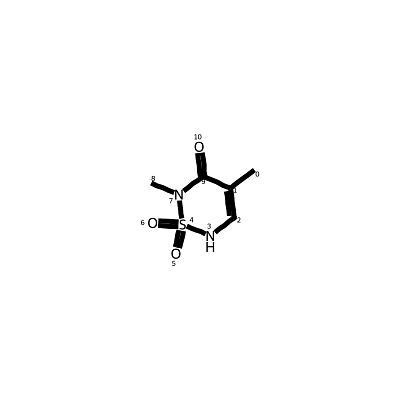 CC1=CNS(=O)(=O)N(C)C1=O